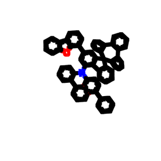 c1ccc(-c2ccc(N(c3ccccc3-c3ccccc3)c3cc(-c4cccc5c4oc4ccccc45)cc4c3-c3ccccc3C43c4ccccc4-c4ccccc4-c4ccccc43)cc2)cc1